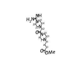 COC(=O)CCCN1CCN(C(=O)CN2CCN(C(=N)N)CC2)CC1